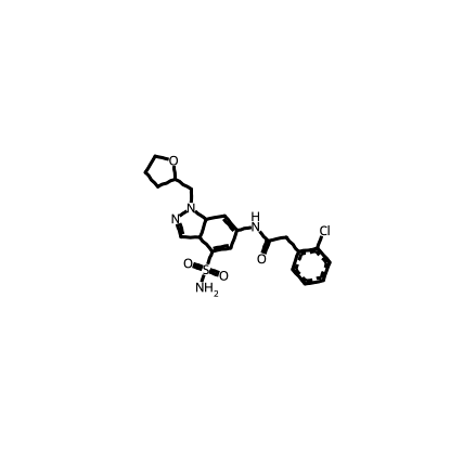 NS(=O)(=O)C1=CC(NC(=O)Cc2ccccc2Cl)=CC2C1C=NN2CC1CCCO1